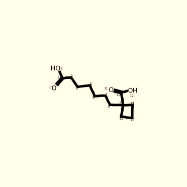 O=C(O)CCCCCCC1(C(=O)O)CCC1